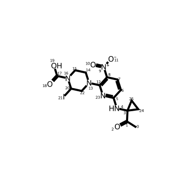 CC(=O)C1(Nc2ccc([N+](=O)[O-])c(N3CCN(C(=O)O)C(I)C3)n2)CC1